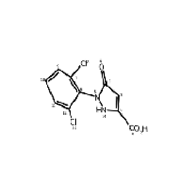 O=C(O)c1cc(=O)n(-c2c(Cl)cccc2Cl)[nH]1